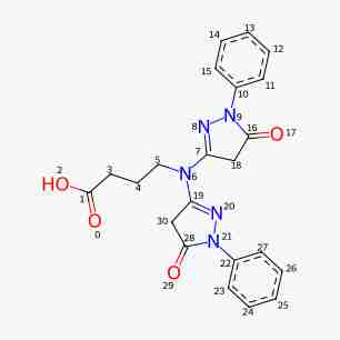 O=C(O)CCCN(C1=NN(c2ccccc2)C(=O)C1)C1=NN(c2ccccc2)C(=O)C1